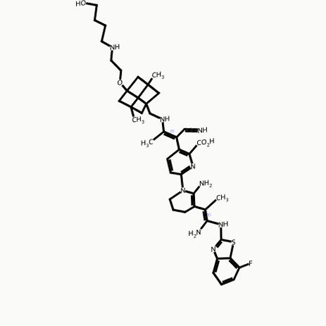 C/C(NCC12CC3(C)CC4(OCCNCCCCO)CC(C)(C1)C324)=C(/C=N)c1ccc(N2CCCC(/C(C)=C(\N)Nc3nc4cccc(F)c4s3)=C2N)nc1C(=O)O